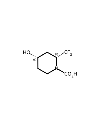 O=C(O)N1CC[C@H](O)C[C@@H]1C(F)(F)F